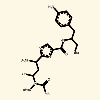 CCCCCCN(C(=O)CCCC)C(CC(NC(C)=O)c1nc(C(=O)NC(Cc2ccc(N)cc2)CC(C)(C)C)cs1)C(C)C